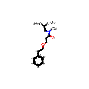 CCC(C)N(CC(OC)OC)C(=O)CCOCCc1ccccc1